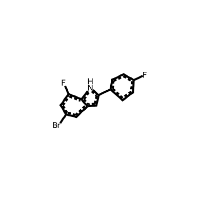 Fc1ccc(-c2cc3cc(Br)cc(F)c3[nH]2)cc1